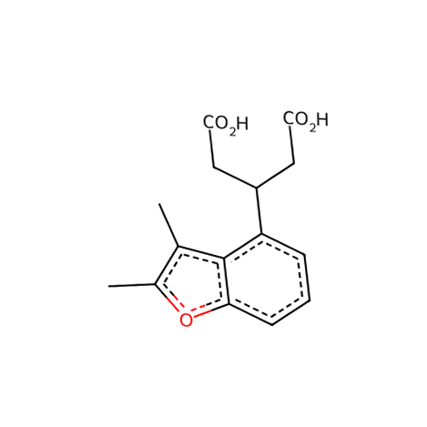 Cc1oc2cccc(C(CC(=O)O)CC(=O)O)c2c1C